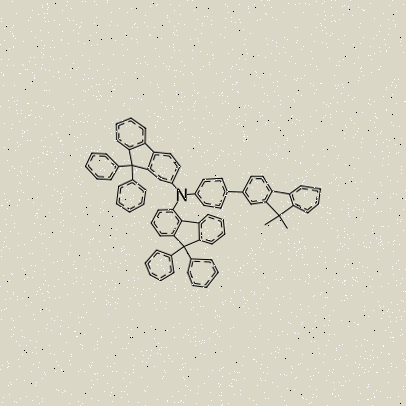 CC1(C)c2ccccc2-c2ccc(-c3ccc(N(c4ccc5c(c4)C(c4ccccc4)(c4ccccc4)c4ccccc4-5)c4cccc5c4-c4ccccc4C5(c4ccccc4)c4ccccc4)cc3)cc21